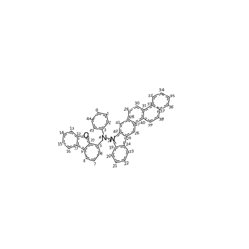 c1ccc(N(c2cccc3c2oc2ccccc23)n2c3ccccc3c3cc4c(ccc5c6ccccc6ccc45)cc32)cc1